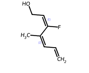 C=C/C=C(C)\C(F)=C/CO